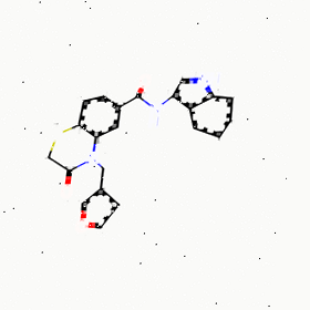 O=C(Nc1c[nH]c2ccccc12)c1ccc2c(c1)N(Cc1ccoc1)C(=O)CS2